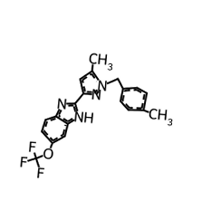 Cc1ccc(Cn2nc(-c3nc4ccc(OC(F)(F)F)cc4[nH]3)cc2C)cc1